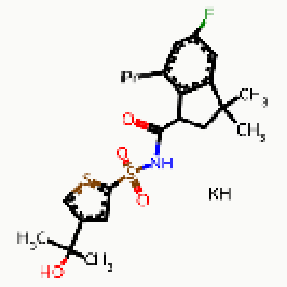 CC(C)c1cc(F)cc2c1C(C(=O)NS(=O)(=O)c1cc(C(C)(C)O)cs1)CC2(C)C.[KH]